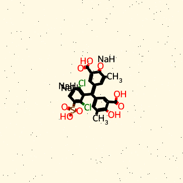 CC1=C/C(=C(\c2cc(C)c(O)c(C(=O)O)c2)c2c(Cl)ccc(S(=O)(=O)O)c2Cl)C=C(C(=O)O)C1=O.[NaH].[NaH].[NaH]